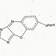 CCCCCc1ccc2c(c1)OC1=NCNC1=N2